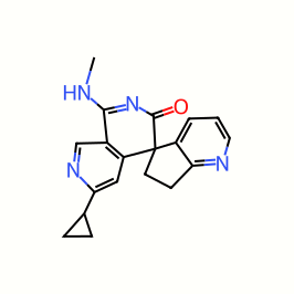 CNC1=NC(=O)C2(CCc3ncccc32)c2cc(C3CC3)ncc21